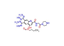 CCCCOC=O.N=NC(=NN)c1cc2nc(C(=O)NCC(=O)N3CCNCC3)cc(O)c2cc1C(N=N)=NN